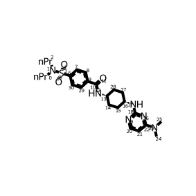 CCCN(CCC)S(=O)(=O)c1ccc(C(=O)N[C@H]2CC[C@@H](Nc3nccc(N(C)C)n3)CC2)cc1